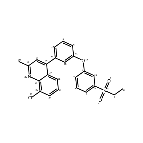 CCS(=O)(=O)c1cccc(Oc2cccc(-c3cc(C)nc4c(Cl)cccc34)c2)c1